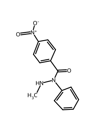 CNN(C(=O)c1ccc([N+](=O)[O-])cc1)c1ccccc1